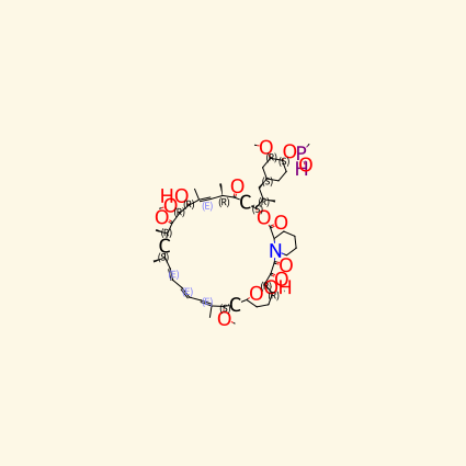 CO[C@H]1CC2CC[C@@H](C)[C@@](O)(O2)C(=O)C(=O)N2CCCCC2C(=O)O[C@H]([C@H](C)C[C@@H]2CC[C@H](O[PH](C)=O)[C@H](OC)C2)CC(=O)[C@H](C)/C=C(\C)[C@@H](O)[C@@H](OC)C(=O)[C@H](C)C[C@H](C)/C=C/C=C/C=C/1C